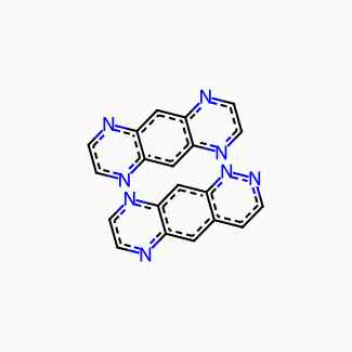 c1cc2cc3nccnc3cc2nn1.c1cnc2cc3nccnc3cc2n1